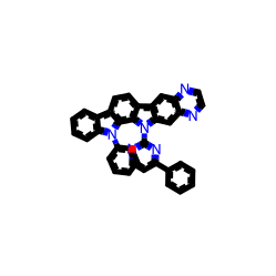 c1ccc(-c2ccnc(-n3c4cc5nccnc5cc4c4ccc5c6ccccc6n(-c6ccccc6)c5c43)n2)cc1